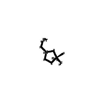 CC(C)CN1CC[C@@](C)(F)C1